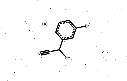 Cl.N#CC(N)c1cccc(Br)c1